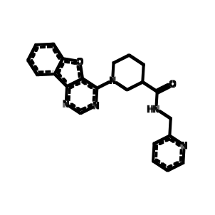 O=C(NCc1ccccn1)C1CCCN(c2ncnc3c2oc2ccccc23)C1